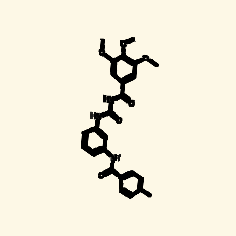 COc1cc(C(=O)NC(=O)Nc2cccc(NC(=O)c3ccc(C)cc3)c2)cc(OC)c1OC